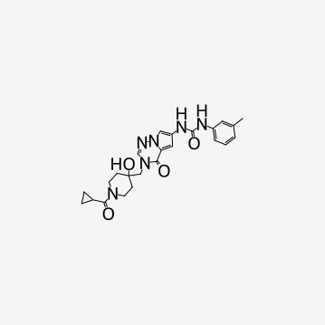 Cc1cccc(NC(=O)Nc2cc3c(=O)n(CC4(O)CCN(C(=O)C5CC5)CC4)cnn3c2)c1